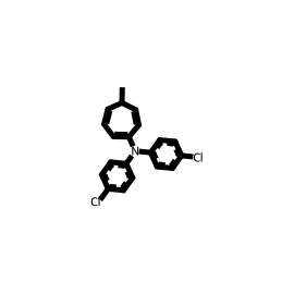 CC1C=CC=C(N(c2ccc(Cl)cc2)c2ccc(Cl)cc2)C=C1